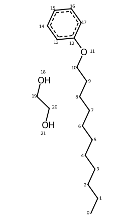 CCCCCCCCCCCOc1ccccc1.OCCO